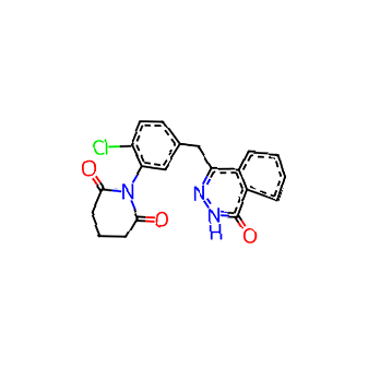 O=C1CCCC(=O)N1c1cc(Cc2n[nH]c(=O)c3ccccc23)ccc1Cl